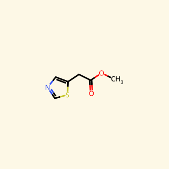 COC(=O)Cc1cncs1